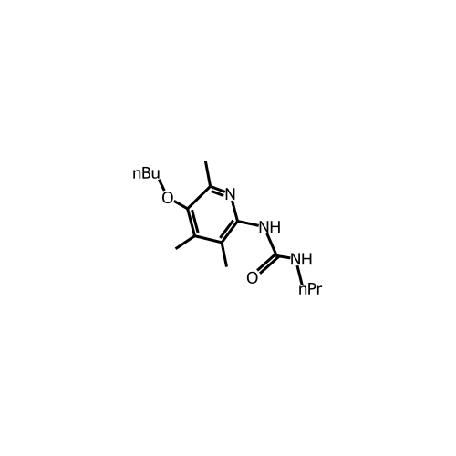 CCCCOc1c(C)nc(NC(=O)NCCC)c(C)c1C